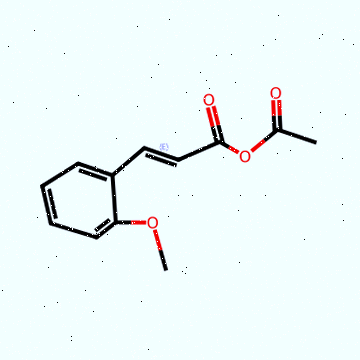 COc1ccccc1/C=C/C(=O)OC(C)=O